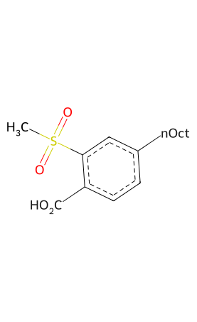 CCCCCCCCc1ccc(C(=O)O)c(S(C)(=O)=O)c1